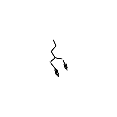 CCCC(SC#N)SC#N